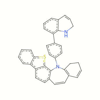 C1=CC2=C(CC1)N(c1ccc(-c3cccc4c3NCC=C4)cc1)c1c(ccc3c1sc1ccccc13)C=C2